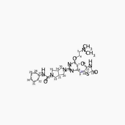 CN(C)CCOc1cc(/C=C2/SC(=O)NC2=O)nc(N2CC3CN(C(=O)Nc4ccccc4)CC3C2)n1